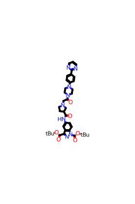 CC(C)(C)OC(=O)c1nn(C(=O)OC(C)(C)C)c2ccc(NC(=O)C3CCN(CC(=O)N4CCN(c5ccc(-c6ncccn6)cc5)CC4)C3)cc12